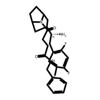 N[C@H](Cc1cc(F)c(F)cc1F)C1CC2CCC(C1)N2C(=O)CCC(=O)NCc1ccccc1